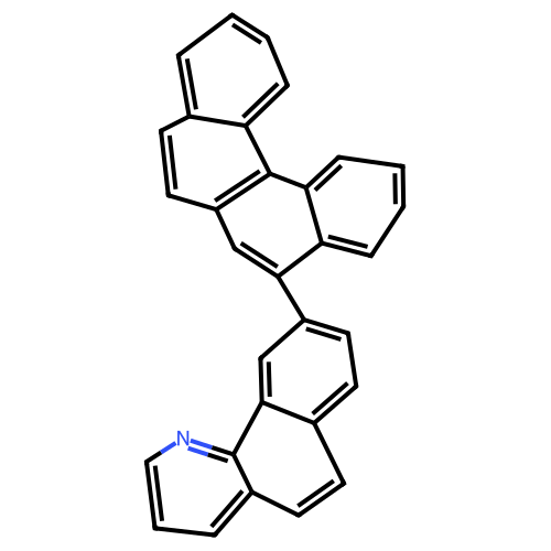 c1ccc2c(c1)ccc1cc(-c3ccc4ccc5cccnc5c4c3)c3ccccc3c12